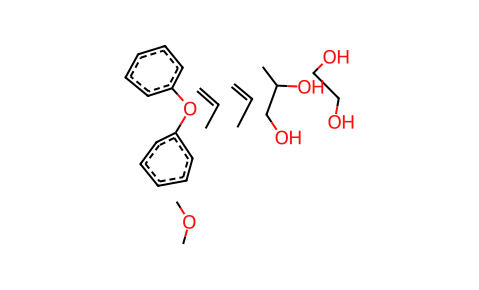 C=CC.C=CC.CC(O)CO.COC.OCCO.c1ccc(Oc2ccccc2)cc1